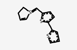 C1=CS(=Cc2ccc(-c3cccs3)s2)CC1